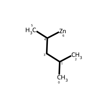 CC(C)C[CH](C)[Zn]